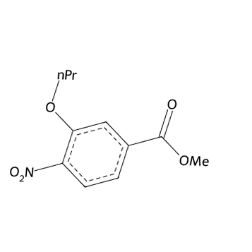 CCCOc1cc(C(=O)OC)ccc1[N+](=O)[O-]